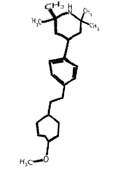 COC1CCC(CCc2ccc(C3CC(C)(C)NC(C)(C)C3)cc2)CC1